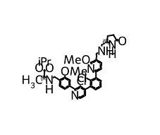 COc1cc(-c2nccc(-c3cccc(-c4ccc(CNC[C@H]5CCC(=O)N5)c(OC)n4)c3Cl)c2Cl)ccc1CN[C@H](C)C(=O)OC(C)C